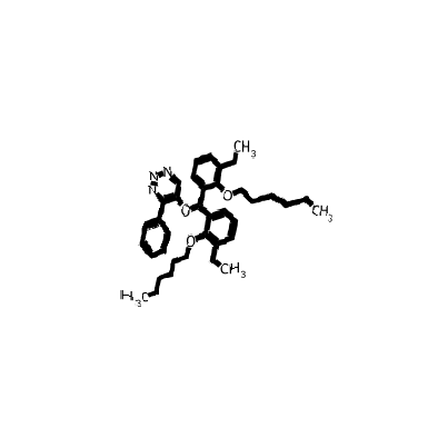 CCCCCCOc1c(CC)cccc1C(Oc1cnnnc1-c1ccccc1)c1cccc(CC)c1OCCCCCC